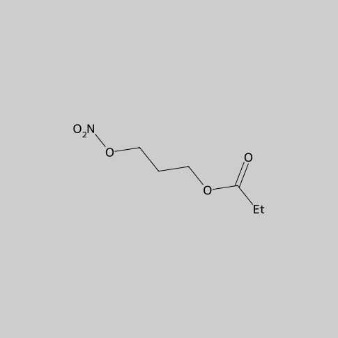 CCC(=O)OCCCO[N+](=O)[O-]